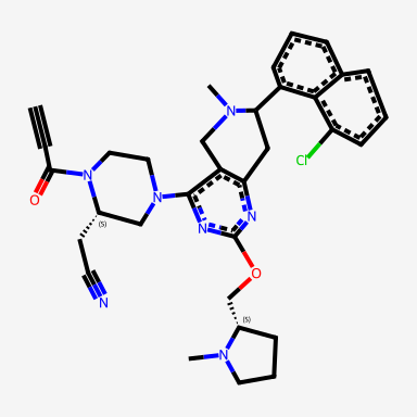 C#CC(=O)N1CCN(c2nc(OC[C@@H]3CCCN3C)nc3c2CN(C)C(c2cccc4cccc(Cl)c24)C3)C[C@@H]1CC#N